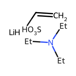 C=CS(=O)(=O)O.CCN(CC)CC.[LiH]